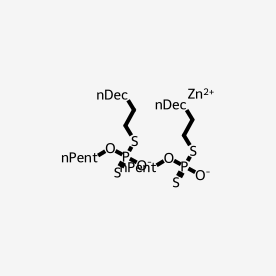 CCCCCCCCCCCCSP([O-])(=S)OCCCCC.CCCCCCCCCCCCSP([O-])(=S)OCCCCC.[Zn+2]